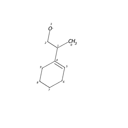 CC(C[O])C1=CCCCC1